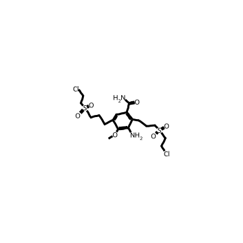 COc1c(CCCS(=O)(=O)CCCl)cc(C(N)=O)c(CCCS(=O)(=O)CCCl)c1N